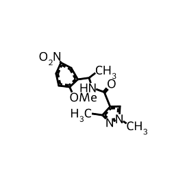 COc1ccc([N+](=O)[O-])cc1C(C)NC(=O)c1cn(C)nc1C